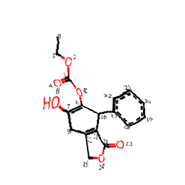 CCOC(=O)OC1=C(O)CC2=C(C(=O)OC2)C1c1ccccc1